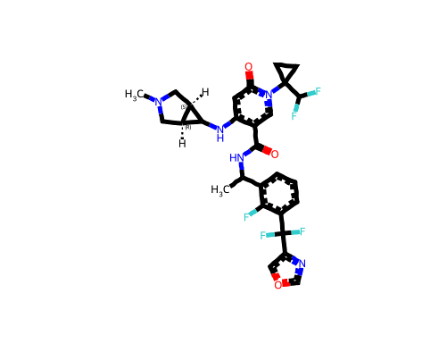 CC(NC(=O)c1cn(C2(C(F)F)CC2)c(=O)cc1NC1[C@H]2CN(C)C[C@@H]12)c1cccc(C(F)(F)c2cocn2)c1F